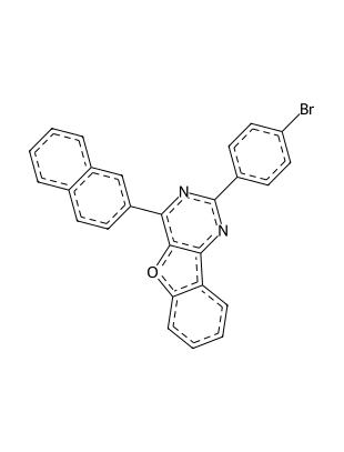 Brc1ccc(-c2nc(-c3ccc4ccccc4c3)c3oc4ccccc4c3n2)cc1